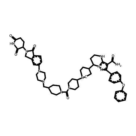 NC(=O)c1c(-c2ccc(Oc3ccccc3)cc2)nn2c1NCCC2C1CCN(C2CCN(C(=O)N3CCC(CN4CCN(c5ccc6c(c5)CN(C5CCC(=O)NC5=O)C6=O)CC4)CC3)CC2)CC1